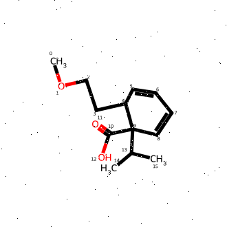 COCCC1C=CC=CC1(C(=O)O)C(C)C